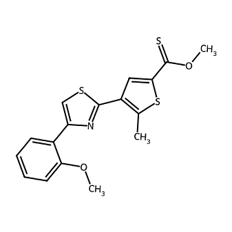 COC(=S)c1cc(-c2nc(-c3ccccc3OC)cs2)c(C)s1